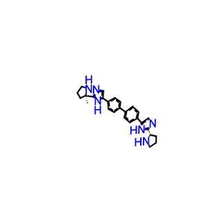 C[C@]1(c2ncc(-c3ccc(-c4ccc(-c5cnc([C@@H]6CCCN6)[nH]5)cc4)cc3)[nH]2)CCCN1